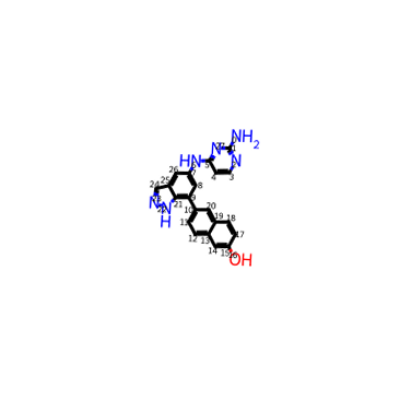 Nc1nccc(Nc2cc(-c3ccc4cc(O)ccc4c3)c3[nH]ncc3c2)n1